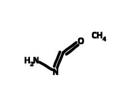 C.NN=C=O